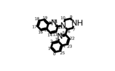 c1ccc2nc(C3CNCCN3c3ccc4ccccc4n3)ccc2c1